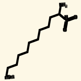 CCCCCCCCCCCCCCCCCC(N)[SH](=O)=O